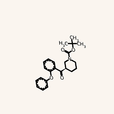 CC(C)(C)OC(=O)N1CCC[C@@H](C(=O)c2ccccc2Oc2ccccc2)C1